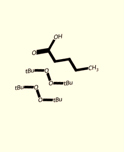 CC(C)(C)OOC(C)(C)C.CC(C)(C)OOC(C)(C)C.CCCCC(=O)O